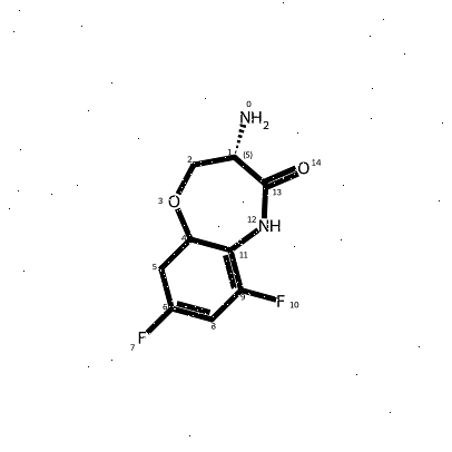 N[C@H]1COC2CC(F)=CC(F)=C2NC1=O